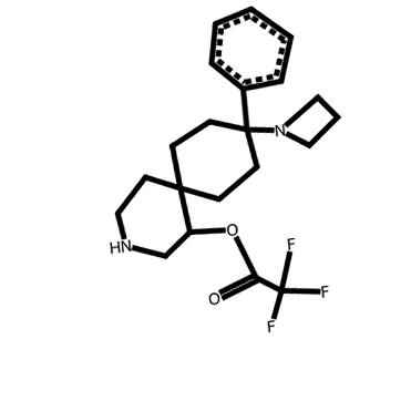 O=C(OC1CNCCC12CCC(c1ccccc1)(N1CCC1)CC2)C(F)(F)F